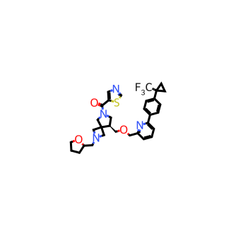 O=C(c1cncs1)N1C[C@@H](COCc2cccc(-c3ccc(C4(C(F)(F)F)CC4)cc3)n2)C2(CN(CC3CCCO3)C2)C1